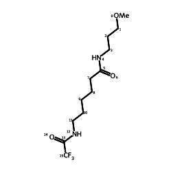 COCCCNC(=O)CCCCCNC(=O)C(F)(F)F